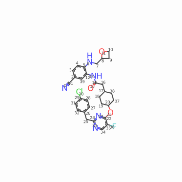 N#Cc1ccc(NCC2CCO2)c(NC(=O)CC2CCC(Oc3nc(Cc4ccc(Cl)cc4)ncc3F)CC2)c1